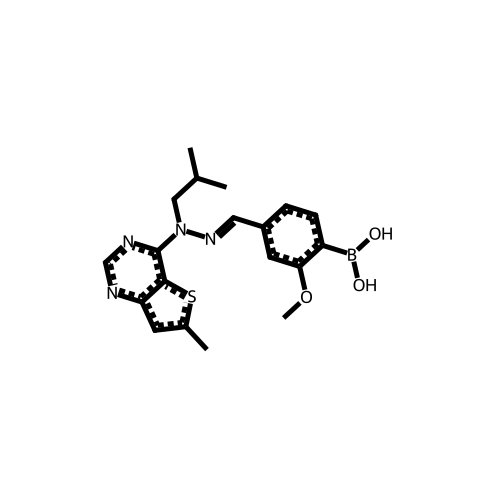 COc1cc(/C=N/N(CC(C)C)c2ncnc3cc(C)sc23)ccc1B(O)O